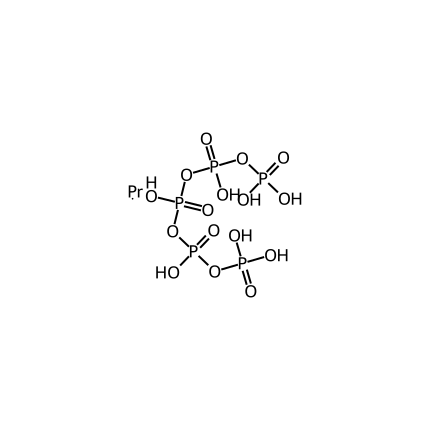 O=P(O)(O)OP(=O)(O)OP(=O)(O)OP(=O)(O)OP(=O)(O)O.[Pr]